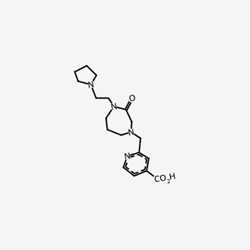 O=C(O)c1ccnc(CN2CCCN(CCN3CCCC3)C(=O)C2)c1